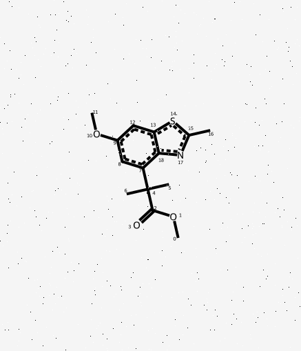 COC(=O)C(C)(C)c1cc(OC)cc2sc(C)nc12